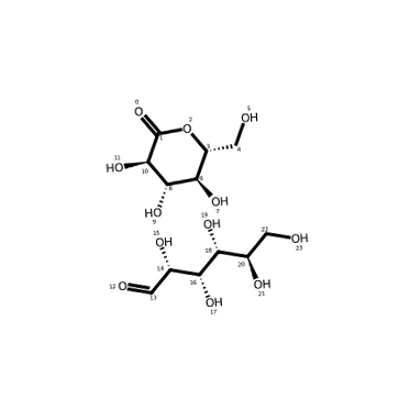 O=C1O[C@H](CO)[C@@H](O)[C@H](O)[C@H]1O.O=C[C@H](O)[C@@H](O)[C@H](O)[C@H](O)CO